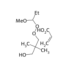 C=CC(=O)O.CCC(OC)OOCC(C)(C)CO